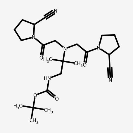 CC(C)(C)OC(=O)NCC(C)(C)N(CC(=O)N1CCCC1C#N)CC(=O)N1CCCC1C#N